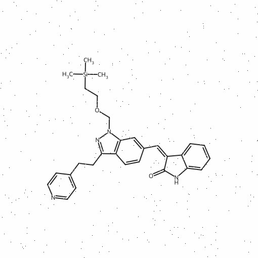 C[Si](C)(C)CCOCn1nc(CCc2ccncc2)c2ccc(/C=C3\C(=O)Nc4ccccc43)cc21